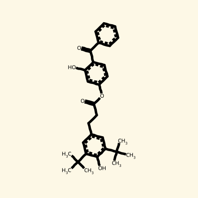 CC(C)(C)c1cc(CCC(=O)Oc2ccc(C(=O)c3ccccc3)c(O)c2)cc(C(C)(C)C)c1O